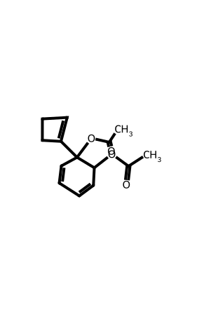 CC(=O)OC1C=CC=CC1(OC(C)=O)C1=CCC1